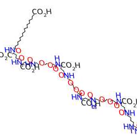 NC(=O)[C@H](CCCCNC(=O)CC[C@H](NC(=O)COCCOCCNC(=O)CC[C@H](NC(=O)COCCOCCNC(=O)CC[C@H](NC(=O)COCCOCCNC(=O)CC[C@H](NC(=O)CC[C@H](NC(=O)CCCCCCCCCCCCCCCCC(=O)O)C(=O)O)C(=O)O)C(=O)O)C(=O)O)C(=O)O)NI